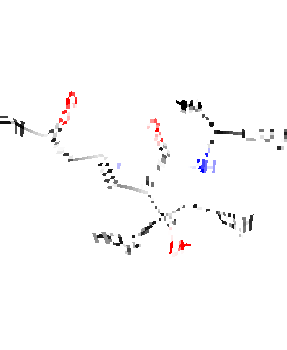 [2H]C(=O)C/C=C/[C@H](C(=O)N[CH]([RaH])C(=O)O)[C@@](O)(CC(=O)O)C(=O)O